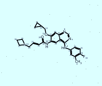 Cc1cc(Nc2ncnc3cc(OCC4CC4)c(NC(=O)/C=C/CN4CCC4)cc23)ccc1F